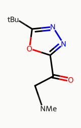 CNCC(=O)c1nnc(C(C)(C)C)o1